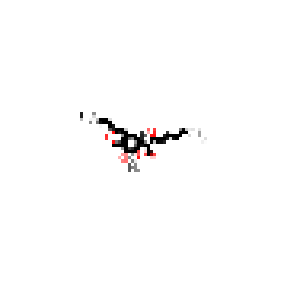 C/C=C/C1=CC2=C(CO1)C(=O)[C@]1(C)OC(=O)[C@H](C(=O)CCCCC)[C@H]1C2